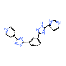 c1cc(-c2n[nH]c(-c3ccncc3)n2)cc(-c2n[nH]c(-c3ccncn3)n2)c1